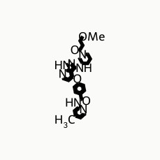 COCCC(=O)N1CCCC(Nc2n[nH]c3nccc(Oc4ccc(C(=O)Nc5cc(C)ccn5)cc4)c23)C1